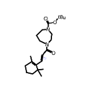 CC1=C(/C=C/C(=O)N2CCCN(C(=O)OC(C)(C)C)CC2)C(C)(C)CCC1